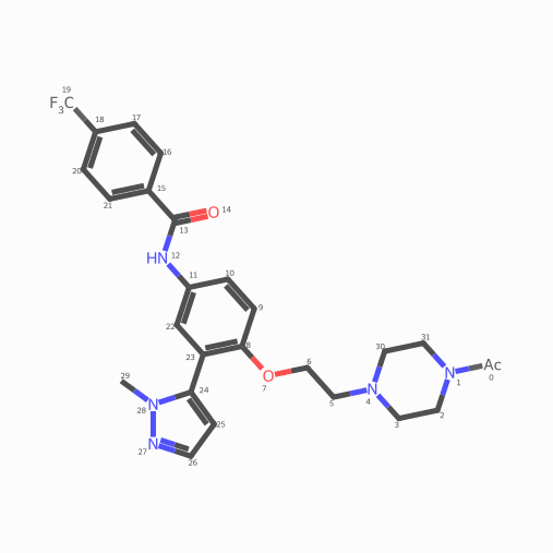 CC(=O)N1CCN(CCOc2ccc(NC(=O)c3ccc(C(F)(F)F)cc3)cc2-c2ccnn2C)CC1